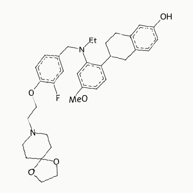 CCN(Cc1ccc(OCCN2CCC3(CC2)OCCO3)c(F)c1)c1cc(OC)ccc1C1CCc2cc(O)ccc2C1